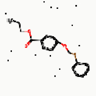 CCCOC(=O)c1ccc(OCSc2ccccc2)cc1